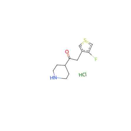 Cl.O=C(Cc1cscc1F)C1CCNCC1